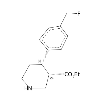 CCOC(=O)[C@@H]1CNCC[C@@H]1c1ccc(CF)cc1